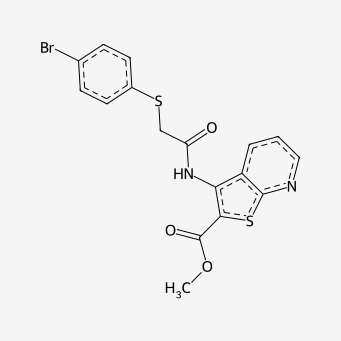 COC(=O)c1sc2ncccc2c1NC(=O)CSc1ccc(Br)cc1